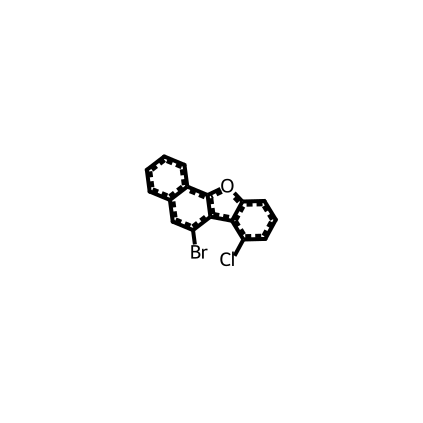 Clc1cccc2oc3c4ccccc4cc(Br)c3c12